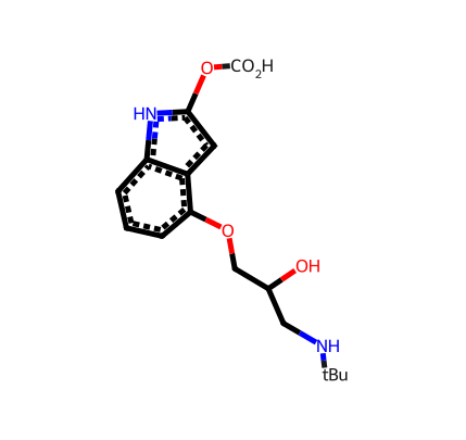 CC(C)(C)NCC(O)COc1cccc2[nH]c(OC(=O)O)cc12